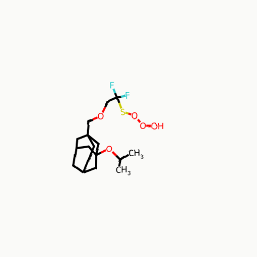 CC(C)OC12CC3CC(CC(COCC(F)(F)SOOO)(C3)C1)C2